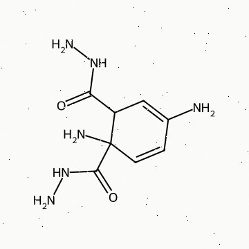 NNC(=O)C1C=C(N)C=CC1(N)C(=O)NN